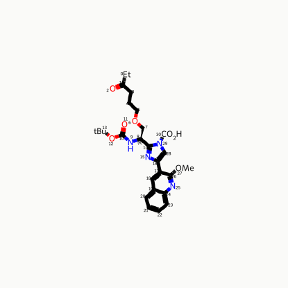 CCC(=O)CCCOC[C@H](NC(=O)OC(C)(C)C)c1nc(-c2cc3ccccc3nc2OC)cn1C(=O)O